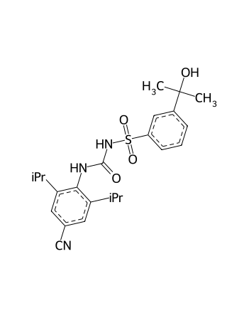 CC(C)c1cc(C#N)cc(C(C)C)c1NC(=O)NS(=O)(=O)c1cccc(C(C)(C)O)c1